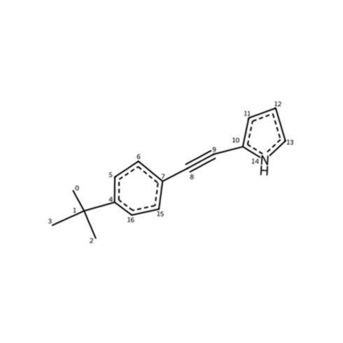 CC(C)(C)c1ccc(C#Cc2ccc[nH]2)cc1